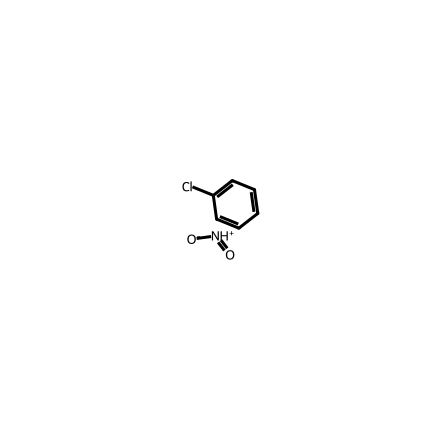 Clc1ccccc1.O=[NH+][O-]